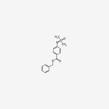 CS(C)(=O)=Nc1ccc(C(=O)OCc2ccccc2)cc1